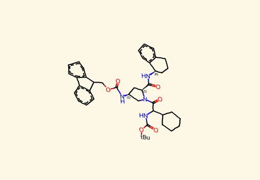 CC(C)(C)OC(=O)NC(C(=O)N1C[C@@H](NC(=O)OCC2c3ccccc3-c3ccccc32)C[C@H]1C(=O)N[C@@H]1CCCc2ccccc21)C1CCCCC1